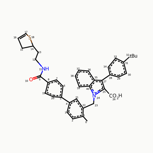 Cc1ccc(-c2ccc(C(=O)NCCC3CC=CS3)cc2)cc1Cn1c(C(=O)O)c(-c2ccc(C(C)(C)C)cc2)c2ccccc21